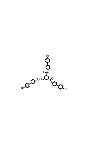 O=C(Oc1ccc(-c2ccc(Br)cn2)cc1)C1CC(COCOc2ccc(-c3ccc(Br)cn3)cc2)CC(C(=O)Oc2ccc(-c3ccc(Br)cn3)cc2)C1